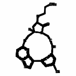 COCCOC1C[C@H]2COc3ccn4ncc(c4n3)-c3cc(C#N)cc(c3)NCCN2C1=O